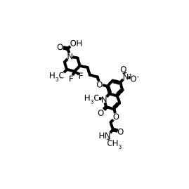 CNC(=O)COc1cc2cc([N+](=O)[O-])cc(OCCCC3CN(C(=O)O)CC(C)C3(F)F)c2n(C)c1=O